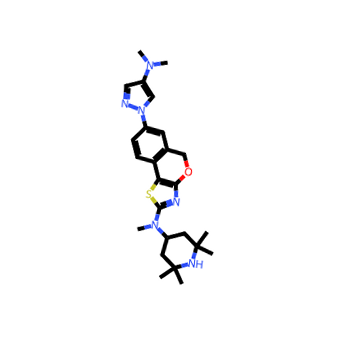 CN(C)c1cnn(-c2ccc3c(c2)COc2nc(N(C)C4CC(C)(C)NC(C)(C)C4)sc2-3)c1